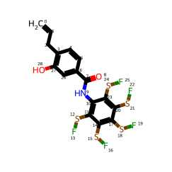 C=CCc1ccc(C(=O)Nc2c(SF)c(SF)c(SF)c(SF)c2SF)cc1O